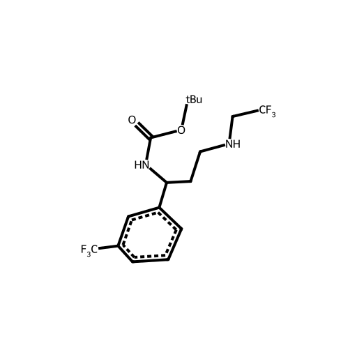 CC(C)(C)OC(=O)NC(CCNCC(F)(F)F)c1cccc(C(F)(F)F)c1